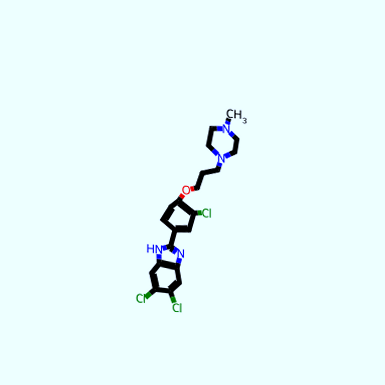 CN1CCN(CCCOc2ccc(-c3nc4cc(Cl)c(Cl)cc4[nH]3)cc2Cl)CC1